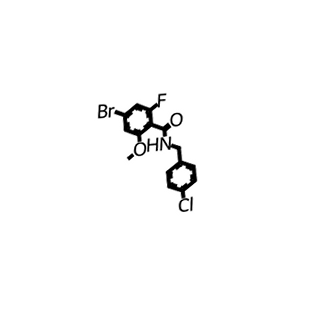 COc1cc(Br)cc(F)c1C(=O)NCc1ccc(Cl)cc1